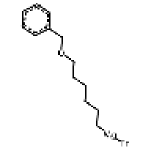 [Br][Mg][CH2]CCCCCOCc1ccccc1